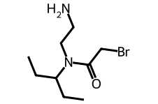 CCC(CC)N(CCN)C(=O)CBr